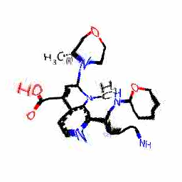 C[C@@H]1COCCN1C1C=C(C(=O)O)c2ccnc(/C(=C/C=N)NC3CCCCO3)c2N1C